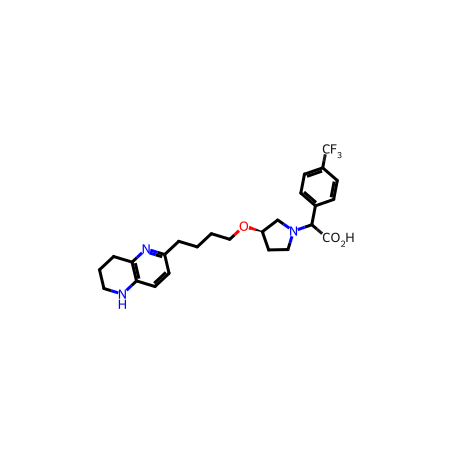 O=C(O)C(c1ccc(C(F)(F)F)cc1)N1CC[C@@H](OCCCCc2ccc3c(n2)CCCN3)C1